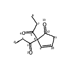 CCC(=O)C1(C(=O)CC)C=CCC1=O